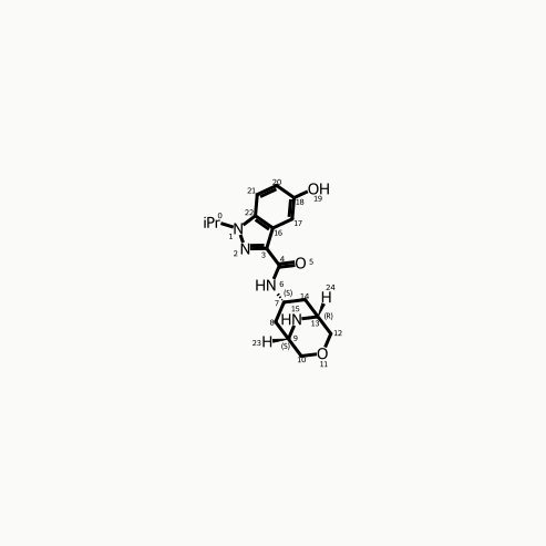 CC(C)n1nc(C(=O)N[C@H]2C[C@H]3COC[C@@H](C2)N3)c2cc(O)ccc21